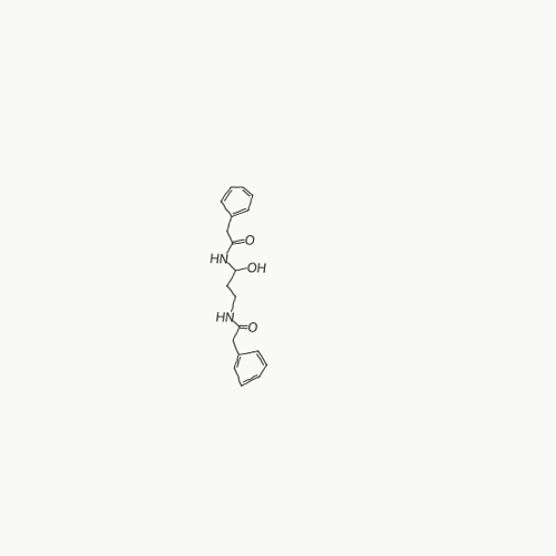 O=C(Cc1ccccc1)NCCC(O)NC(=O)Cc1ccccc1